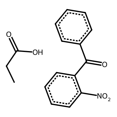 CCC(=O)O.O=C(c1ccccc1)c1ccccc1[N+](=O)[O-]